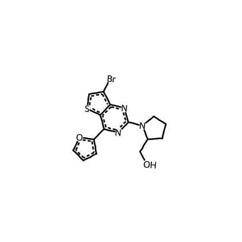 OCC1CCCN1c1nc(-c2ccco2)c2scc(Br)c2n1